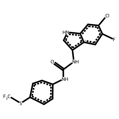 O=C(Nc1ccc(SC(F)(F)F)cc1)Nc1c[nH]c2cc(Cl)c(F)cc12